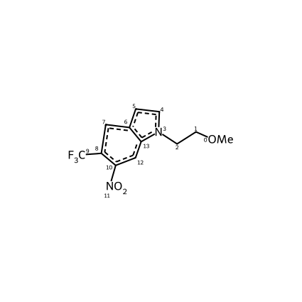 COCCn1ccc2cc(C(F)(F)F)c([N+](=O)[O-])cc21